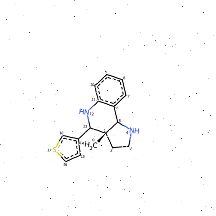 C[C@]12CCNC1c1ccccc1NC2c1ccsc1